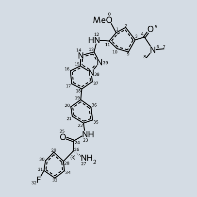 COc1cc(C(=O)N(C)C)ccc1Nc1nc2ccc(-c3ccc(NC(=O)[C@H](N)c4ccc(F)cc4)cc3)cn2n1